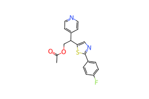 CC(=O)OCC(c1ccncc1)c1cnc(-c2ccc(F)cc2)s1